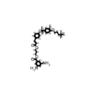 Nc1cc(N)cc(C(=O)OCCCOC(=O)/C=C/c2ccc(OC(F)(F)c3ccc(OCCCC(F)(F)F)c(F)c3)cc2)c1